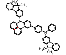 CC1(C)c2ccccc2-c2cc(N(c3ccccc3)c3ccc(-c4ccc(N(c5ccccc5)c5ccc6c(c5)-c5ccccc5C6(C)C)c(-c5ccccc5)c4)cc3)ccc21